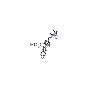 C/C(CCc1cnc(N2CC3(CCOCC3)C2)c(C(=O)O)c1)=C(/Cl)N(C)C